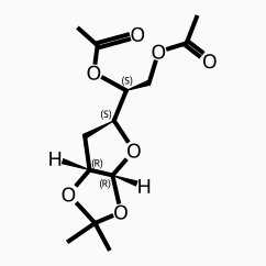 CC(=O)OC[C@H](OC(C)=O)[C@@H]1C[C@H]2OC(C)(C)O[C@H]2O1